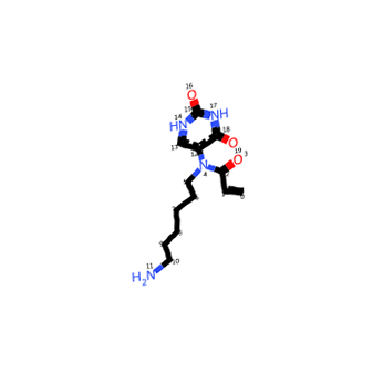 C=CC(=O)N(CCCCCCN)c1c[nH]c(=O)[nH]c1=O